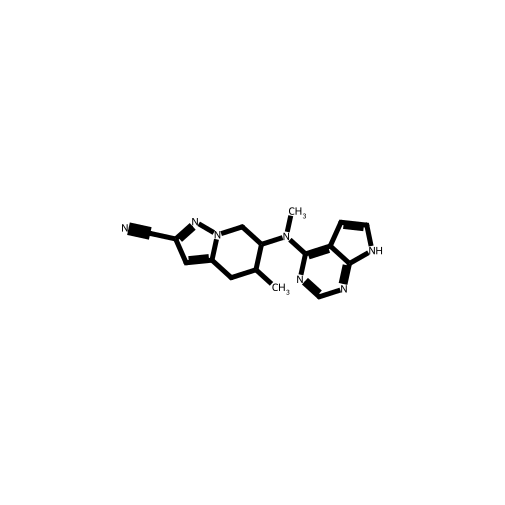 CC1Cc2cc(C#N)nn2CC1N(C)c1ncnc2[nH]ccc12